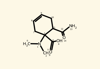 CN(C)C1(C(=O)O)CC=CCC1C(N)=O